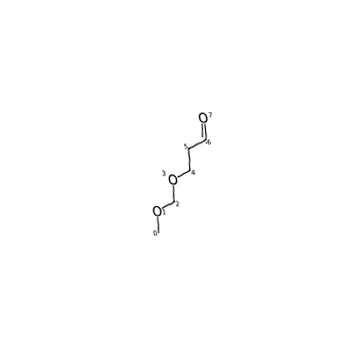 COCOCC[C]=O